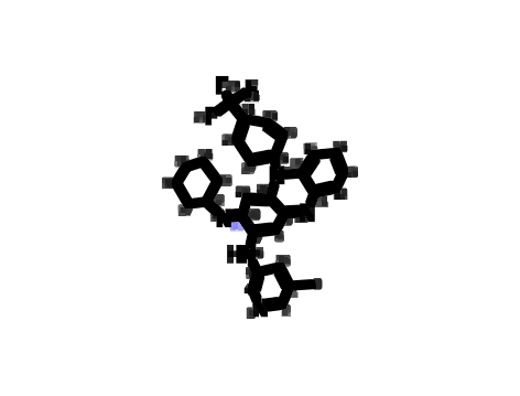 Cc1cncc(Nc2cc3nc4ccccc4n(-c4ccc(C(F)(F)F)cc4)c-3c/c2=N\C2CCCCC2)c1